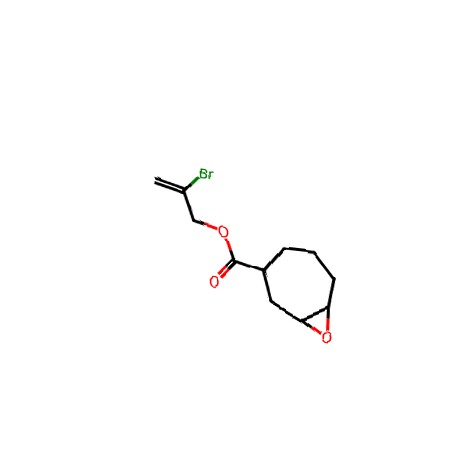 C=C(Br)COC(=O)C1CCCC2OC2C1